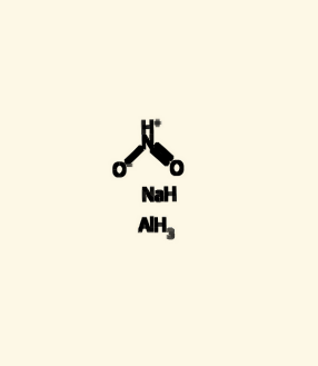 O=[NH+][O-].[AlH3].[NaH]